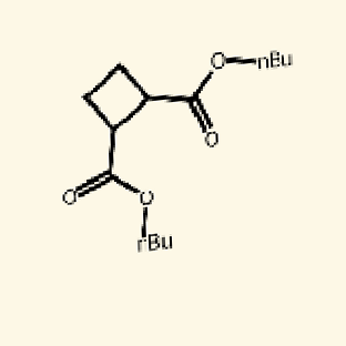 CCCCOC(=O)C1CCC1C(=O)OCCCC